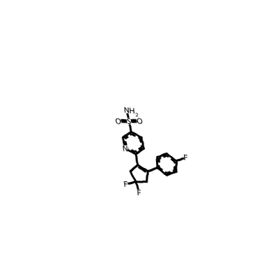 NS(=O)(=O)c1ccc(C2=C(c3ccc(F)cc3)CC(F)(F)C2)nc1